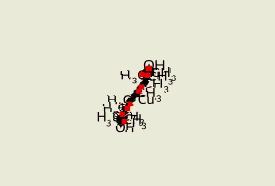 CC1=C[C@H](O)CC(C)(C)[C@H]1/C=C/C(C)=C/C=C/C(C)=C/C=C/C=C(C)/C=C/C=C(C)/C=C/C1=C(C)C[C@@H](O)CC1(C)C.[Cu]